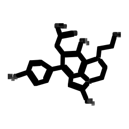 COC(=O)Cc1c(C)c2c3c(cc(C)n3CCN2CCO)c1-c1ccc(C)cc1